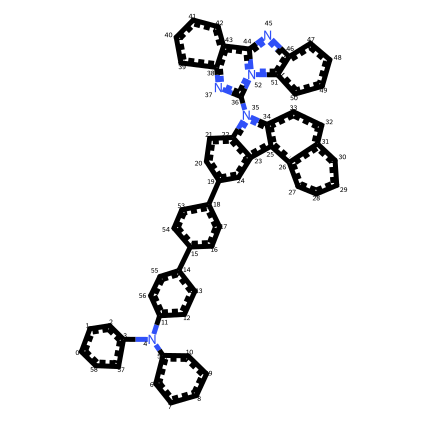 c1ccc(N(c2ccccc2)c2ccc(-c3ccc(-c4ccc5c(c4)c4c6ccccc6ccc4n5-c4nc5ccccc5c5nc6ccccc6n45)cc3)cc2)cc1